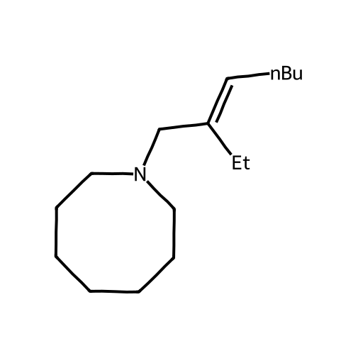 CCCC/C=C(\CC)CN1CCCCCCC1